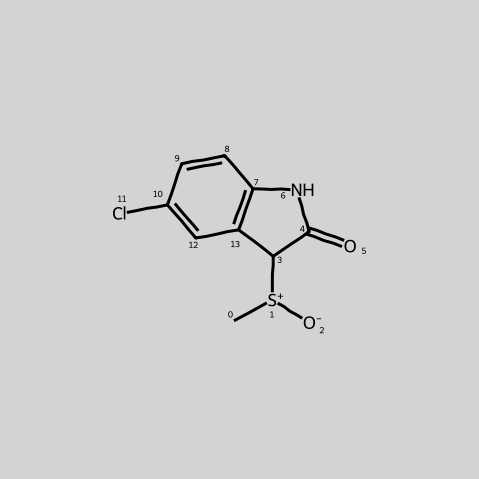 C[S+]([O-])C1C(=O)Nc2ccc(Cl)cc21